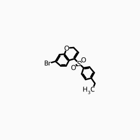 CCc1ccc(S(=O)(=O)C2=CCOc3cc(Br)ccc32)cc1